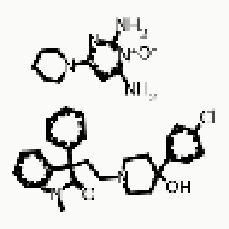 CN(C)C(=O)C(CCN1CCC(O)(c2ccc(Cl)cc2)CC1)(c1ccccc1)c1ccccc1.Nc1cc(N2CCCCC2)nc(N)[n+]1[O-]